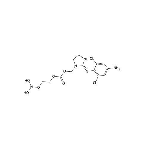 Nc1cc(Cl)c(/N=C2\NCCN2COC(=O)OCCON(O)O)c(Cl)c1